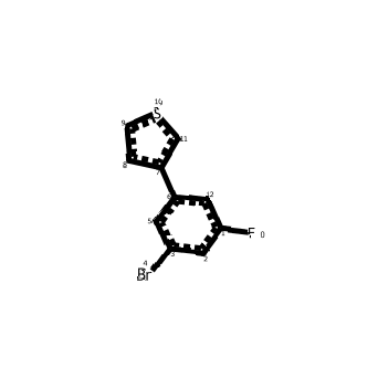 Fc1cc(Br)cc(-c2ccsc2)c1